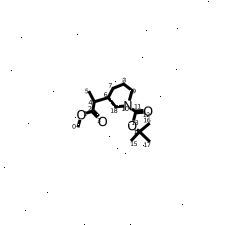 COC(=O)C(C)C1CCCN(C(=O)OC(C)(C)C)C1